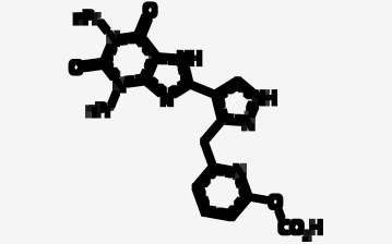 CCCn1c(=O)c2[nH]c(-c3c[nH]nc3Cc3cccc(OC(=O)O)n3)nc2n(CCC)c1=O